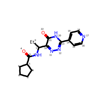 CCC(NC(=O)C1CCCC1)c1nnc(-c2ccncc2)[nH]c1=O